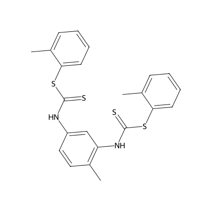 Cc1ccc(NC(=S)Sc2ccccc2C)cc1NC(=S)Sc1ccccc1C